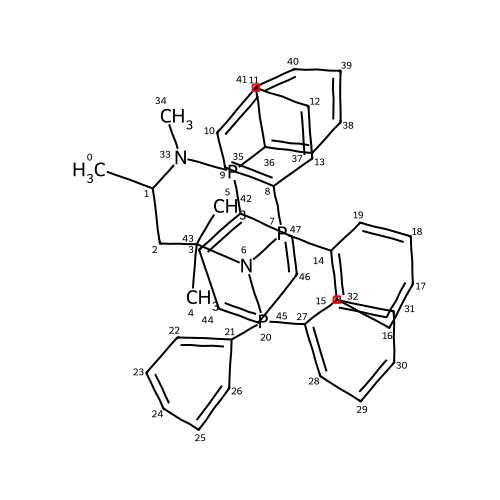 CC(CC(C)(C)N(P(c1ccccc1)c1ccccc1)P(c1ccccc1)c1ccccc1)N(C)P(c1ccccc1)c1ccccc1